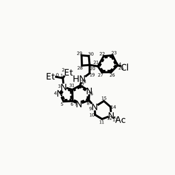 CCC(CC)n1ncc2nc(N3CCN(C(C)=O)CC3)nc(NCC3(c4ccc(Cl)cc4)CCC3)c21